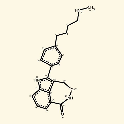 CNCCCCc1ccc(-c2[nH]c3cccc4c3c2CONC4=O)cc1